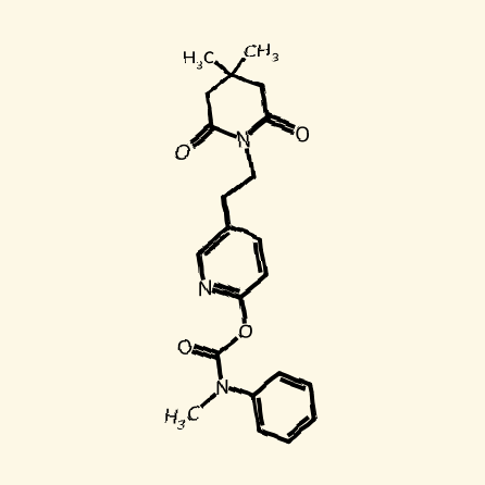 CN(C(=O)Oc1ccc(CCN2C(=O)CC(C)(C)CC2=O)cn1)c1ccccc1